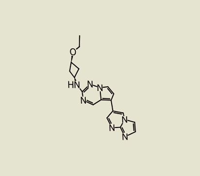 CCO[C@H]1C[C@@H](Nc2ncc3c(-c4cnc5nccn5c4)ccn3n2)C1